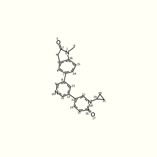 CN1C(=O)Cc2cc(-c3cncc(-c4ccc(=O)n(C5CC5)c4)c3)ccc21